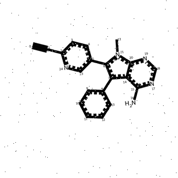 C#Cc1ccc(-c2c(-c3ccccc3)c3c(N)ncnc3n2C)cn1